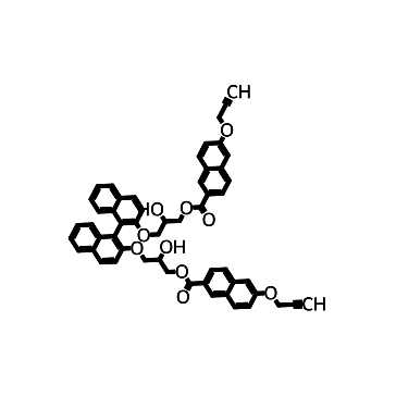 C#CCOc1ccc2cc(C(=O)OCC(O)COc3ccc4ccccc4c3-c3c(OCC(O)COC(=O)c4ccc5cc(OCC#C)ccc5c4)ccc4ccccc34)ccc2c1